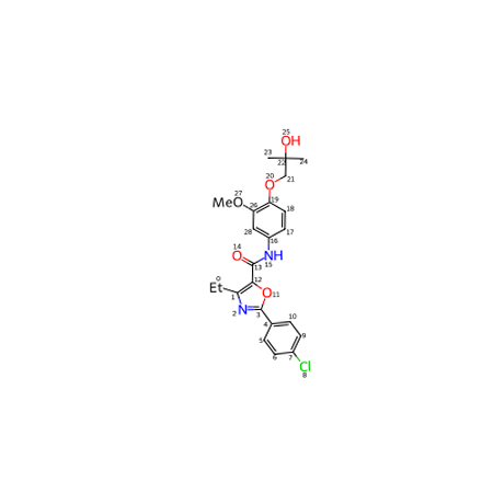 CCc1nc(-c2ccc(Cl)cc2)oc1C(=O)Nc1ccc(OCC(C)(C)O)c(OC)c1